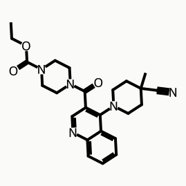 CCOC(=O)N1CCN(C(=O)c2cnc3ccccc3c2N2CCC(C)(C#N)CC2)CC1